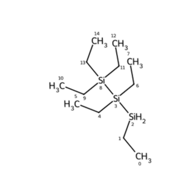 CC[SiH2][Si](CC)(CC)[Si](CC)(CC)CC